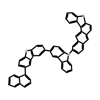 c1ccc2c(-c3ccc4oc5ccc(-c6ccc7c(c6)c6ccccc6n7-c6ccc7cc8ccc9sc%10ccccc%10c9c8cc7c6)cc5c4c3)cccc2c1